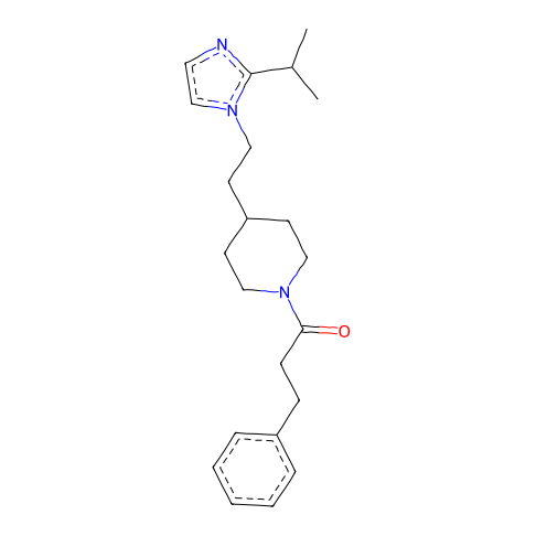 CC(C)c1nccn1CCC1CCN(C(=O)CCc2ccccc2)CC1